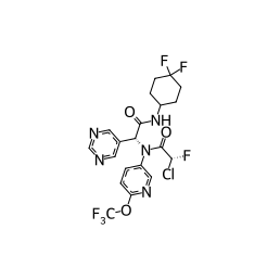 O=C(NC1CCC(F)(F)CC1)[C@@H](c1cncnc1)N(C(=O)[C@H](F)Cl)c1ccc(OC(F)(F)F)nc1